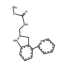 CC(C)(C)OC(=O)NCN1Cc2c(cccc2-c2ccccn2)N1